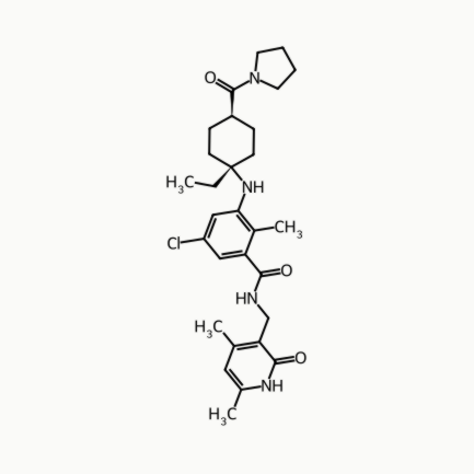 CC[C@]1(Nc2cc(Cl)cc(C(=O)NCc3c(C)cc(C)[nH]c3=O)c2C)CC[C@H](C(=O)N2CCCC2)CC1